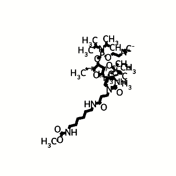 [C-]#[N+]CCOP(OC1[C@@H](CC)O[C@@H](c2cn(CCC(=O)NCCCCCCNC(=O)OC)c(=O)[nH]c2=O)[C@H]1O[Si](C)(C)C(C)(C)C)N(C(C)C)C(C)C